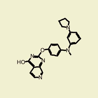 CN(c1ccc(Oc2nc(O)c3ccncc3n2)cc1)c1cccc(N2CCCC2)c1